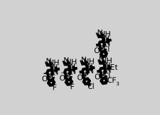 CCc1nc2c(c(-c3ccn[nH]3)n1)CC(C)N(C(=O)c1cccc(C(F)(F)F)c1Cl)C2.Cc1nc2c(c(-c3ccn[nH]3)n1)CC(C)N(C(=O)c1ccc(Cl)cc1)C2.Cc1nc2c(c(-c3ccn[nH]3)n1)CC(C)N(C(=O)c1ccccc1Cl)C2.Cc1nc2c(c(-c3ccn[nH]3)n1)C[C@@H](C)N(C(=O)c1ccc(F)cc1F)C2.Cc1nc2c(c(-c3ccn[nH]3)n1)C[C@H](C)N(C(=O)c1ccc(F)cc1F)C2